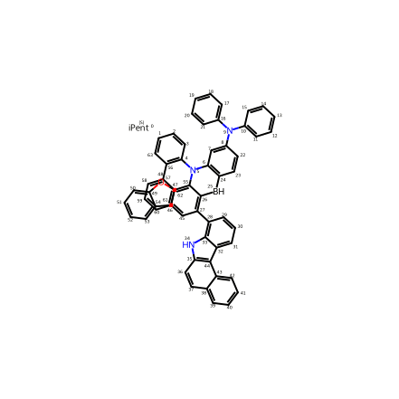 CCC[C@H](C)c1ccc(N2c3cc(N(c4ccccc4)c4ccccc4)ccc3Bc3c(-c4cccc5c4[nH]c4ccc6ccccc6c45)cc4c(oc5ccccc54)c32)c(-c2ccccc2)c1